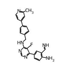 Cc1cc(-c2ccc(CNc3ncnc(-c4ccc(N)c(C=N)c4)c3F)cc2)ccn1